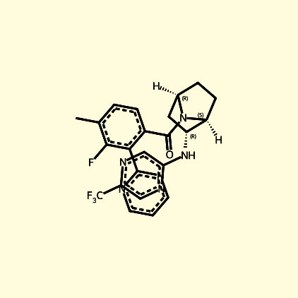 Cc1ccc(C(=O)N2[C@@H]3CC[C@H]2[C@H](Nc2cnc(C(F)(F)F)cn2)C3)c(-c2ncccn2)c1F